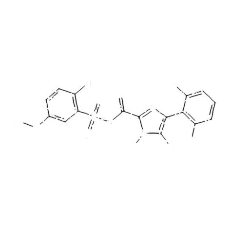 COc1ccc(Cl)c(S(=O)(=O)NC(=O)c2nc(-c3c(F)cccc3F)c(C)n2C)c1